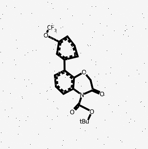 CC(C)(C)OC(=O)N1C(=O)COc2c(-c3cccc(OC(F)(F)F)c3)cccc21